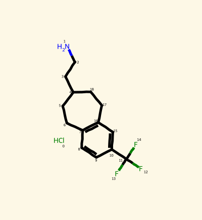 Cl.NCCC1CCc2ccc(C(F)(F)F)cc2CC1